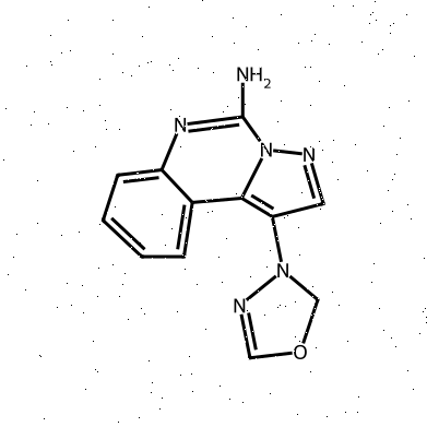 Nc1nc2ccccc2c2c(N3COC=N3)cnn12